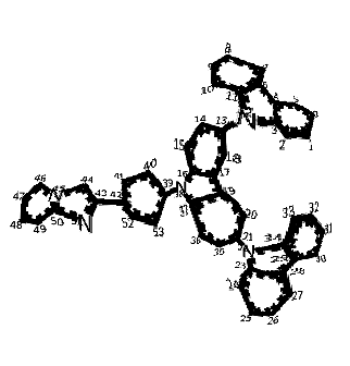 c1ccc2c(c1)c1ccccc1n2-c1ccc2c(c1)c1cc(-n3c4ccccc4c4ccccc43)ccc1n2-c1ccc(-c2cn3ccccc3n2)cc1